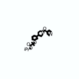 CC(C)OC(=O)C(C)(C)Oc1cccc(C2=CCN(C(=O)c3ccncc3)CC2)c1